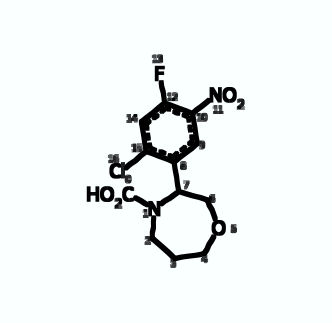 O=C(O)N1CCCOCC1c1cc([N+](=O)[O-])c(F)cc1Cl